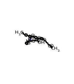 C=CC(=O)OCCCCCCOc1ccc(OC(=O)C2CCC(C(=O)Oc3ccc(C4CCC(CCC)CC4)cc3/C=N/N(CCOCCOCCO)c3nc4ccccc4s3)CC2)cc1